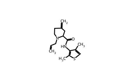 C=CCN1CCC(=C)CC1C(=O)Nc1c(C)csc1C